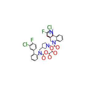 CN1CCC(CN(C(=O)OC(=O)C(=O)OC(=O)N(CC2CCN(C)C2)c2ccccc2-c2ccc(F)c(Cl)c2)c2ccccc2-c2ccc(F)c(Cl)c2)C1